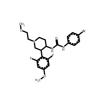 COCCN1CCC(NC(=O)Nc2ccc(Br)cc2)C(c2c(F)cc(OC)cc2F)C1